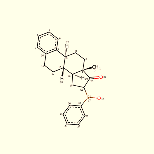 C[C@]12CC[C@@H]3c4ccccc4CC[C@H]3[C@@H]1CC([S+]([O-])c1ccccc1)C2=O